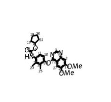 COc1cc2ncnc(Oc3ccc(NC(=O)OC4CCCC4)c(C)c3C)c2cc1OC